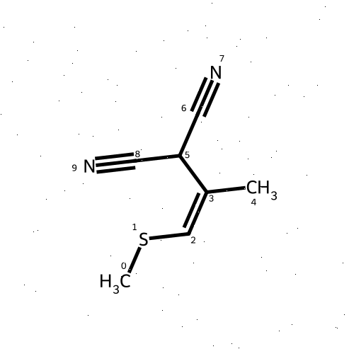 CSC=C(C)C(C#N)C#N